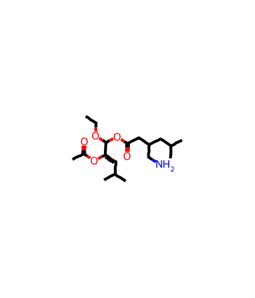 CCOC(OC(=O)CC(CN)CC(C)C)C(=CC(C)C)OC(C)=O